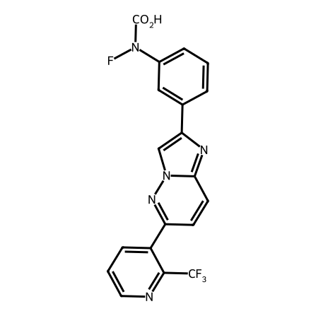 O=C(O)N(F)c1cccc(-c2cn3nc(-c4cccnc4C(F)(F)F)ccc3n2)c1